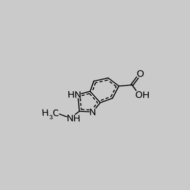 CNc1nc2cc(C(=O)O)ccc2[nH]1